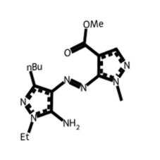 CCCCc1nn(CC)c(N)c1N=Nc1c(C(=O)OC)cnn1C